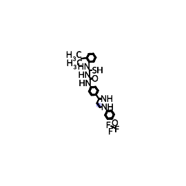 CC(C)c1ccccc1NC(S)NC(=O)Nc1ccc(C(=N)/C=C\Nc2ccc(OC(F)(F)F)cc2)cc1